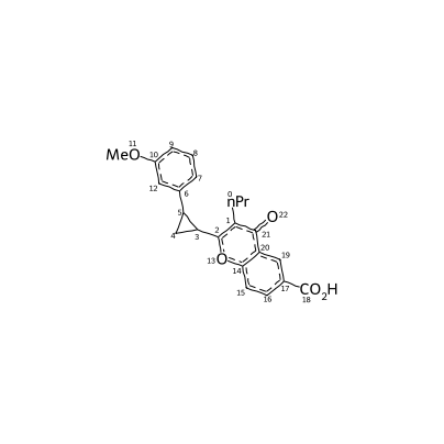 CCCc1c(C2CC2c2cccc(OC)c2)oc2ccc(C(=O)O)cc2c1=O